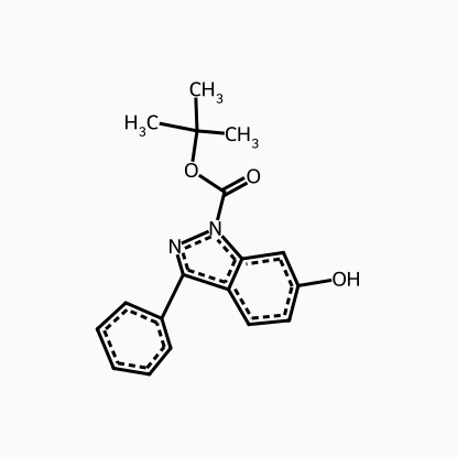 CC(C)(C)OC(=O)n1nc(-c2ccccc2)c2ccc(O)cc21